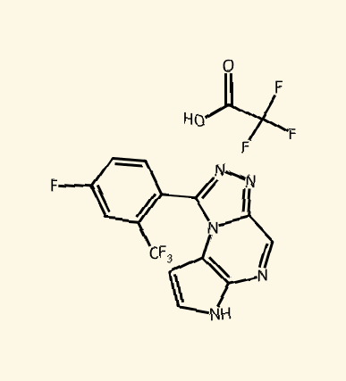 Fc1ccc(-c2nnc3cnc4[nH]ccc4n23)c(C(F)(F)F)c1.O=C(O)C(F)(F)F